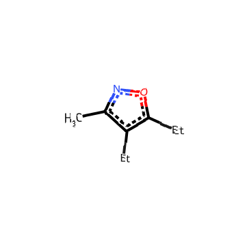 CCc1onc(C)c1CC